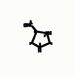 O=CC1CNCN1